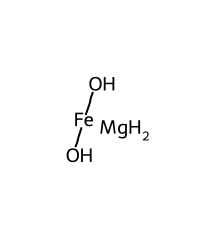 [MgH2].[OH][Fe][OH]